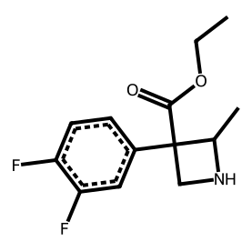 CCOC(=O)C1(c2ccc(F)c(F)c2)CNC1C